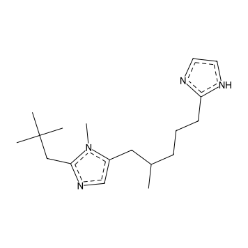 CC(CCCc1ncc[nH]1)Cc1cnc(CC(C)(C)C)n1C